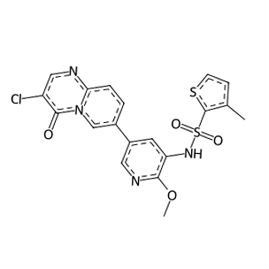 COc1ncc(-c2ccc3ncc(Cl)c(=O)n3c2)cc1NS(=O)(=O)c1sccc1C